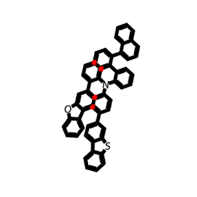 c1ccc(-c2cccc3ccccc23)c(-c2ccccc2N(c2ccc(-c3ccc4c(c3)sc3ccccc34)cc2)c2ccccc2-c2ccc3c(c2)oc2ccccc23)c1